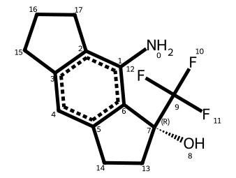 Nc1c2c(cc3c1[C@@](O)(C(F)(F)F)CC3)CCC2